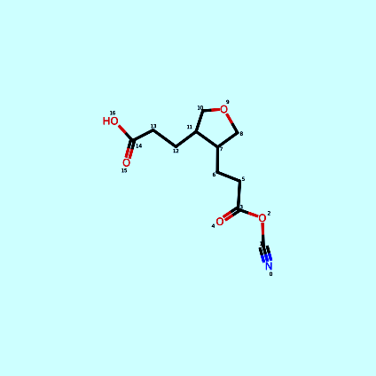 N#COC(=O)CCC1COCC1CCC(=O)O